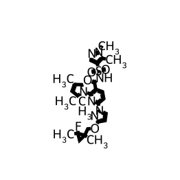 CC1=CC(C)(C)N(c2nc(-n3ccc(OCC4(C)CC4(C)F)n3)ccc2C(=O)NS(=O)(=O)c2cnn(C)c2C)C1